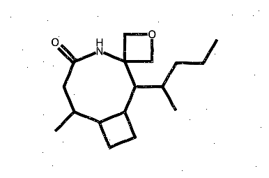 CCCC(C)C1C2CCC2C(C)CC(=O)NC12COC2